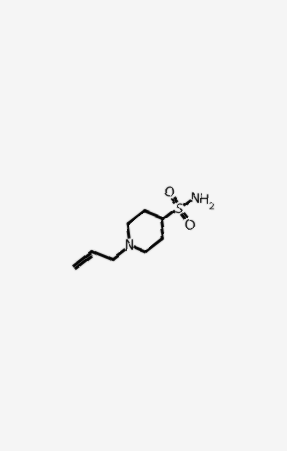 C=CCN1CCC(S(N)(=O)=O)CC1